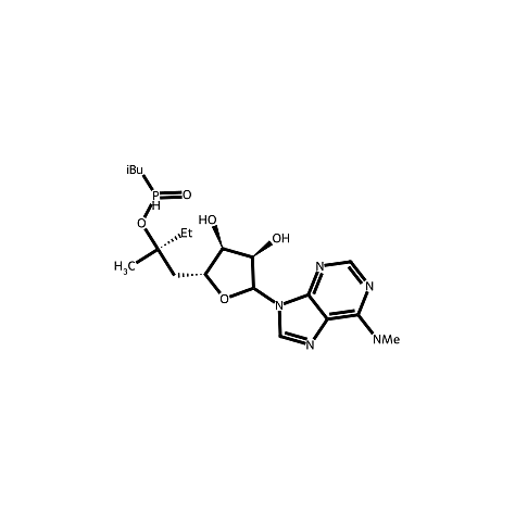 CCC(C)[PH](=O)O[C@@](C)(CC)C[C@H]1OC(n2cnc3c(NC)ncnc32)[C@H](O)[C@@H]1O